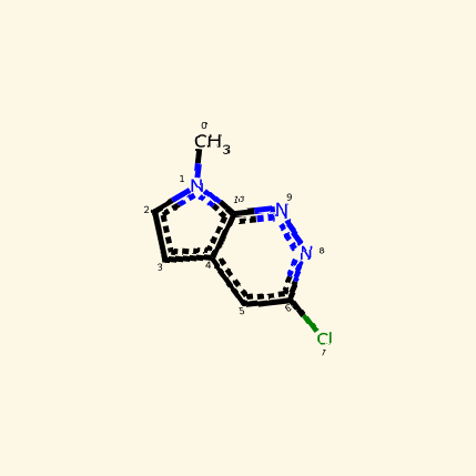 Cn1ccc2cc(Cl)nnc21